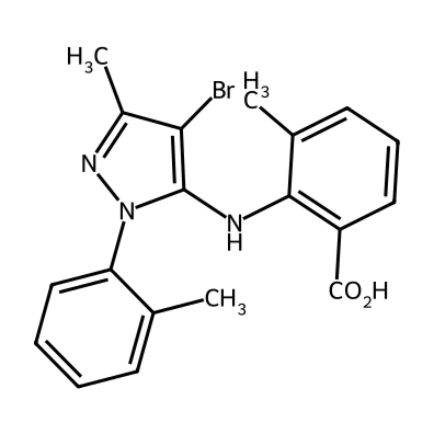 Cc1ccccc1-n1nc(C)c(Br)c1Nc1c(C)cccc1C(=O)O